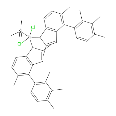 CC1=Cc2c(ccc(C)c2-c2ccc(C)c(C)c2C)[CH]1[Zr]([Cl])([Cl])([CH]1C(C)=Cc2c1ccc(C)c2-c1ccc(C)c(C)c1C)[SiH](C)C